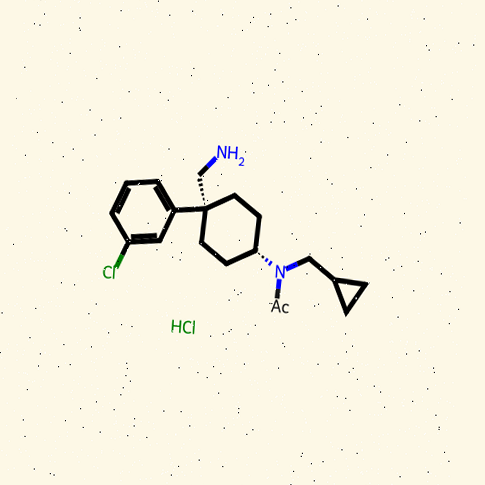 CC(=O)N(CC1CC1)[C@H]1CC[C@](CN)(c2cccc(Cl)c2)CC1.Cl